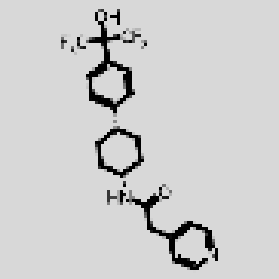 O=C(Cc1ccncc1)N[C@H]1CC[C@@H](c2ccc(C(O)(C(F)(F)F)C(F)(F)F)cc2)CC1